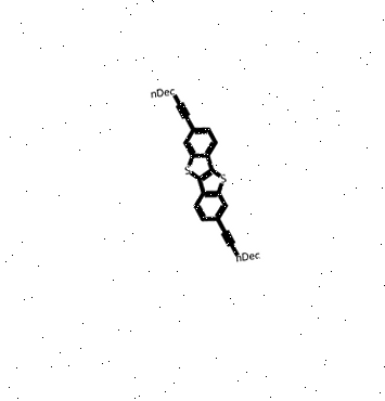 CCCCCCCCCCC#Cc1ccc2c(c1)sc1c3ccc(C#CCCCCCCCCCC)cc3sc21